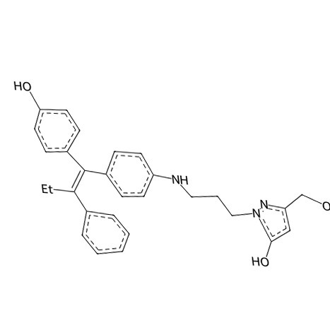 CC/C(=C(\c1ccc(O)cc1)c1ccc(NCCCn2nc(COC)cc2O)cc1)c1ccccc1